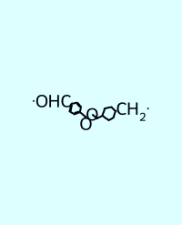 [CH2]C1CCC(COC(=O)c2ccc([C]=O)cc2)CC1